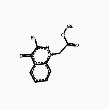 CC(C)(C)OC(=O)Cn1nc(Br)c(=O)c2ccccc21